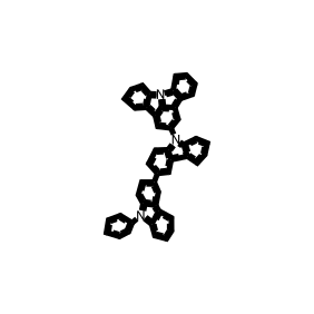 c1ccc(-n2c3ccccc3c3cc(-c4ccc5c(c4)c4ccccc4n5-c4cc5c6ccccc6n6c7ccccc7c(c4)c56)ccc32)cc1